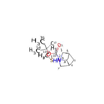 CSN1CC2CC(C1)C2NC(=O)OC(C)(C)C